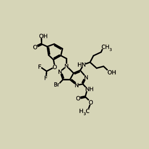 CCCC(CCO)Nc1nc(NC(=O)OC)nc2c(Br)nn(Cc3ccc(C(=O)O)cc3OC(F)F)c12